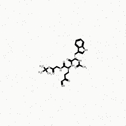 CC(=O)N[C@@H](Cc1c[nH]c2ccccc12)C(=O)N[C@@H](CCC(=O)C=N)C(=O)NCC(=O)OC(C)(C)C